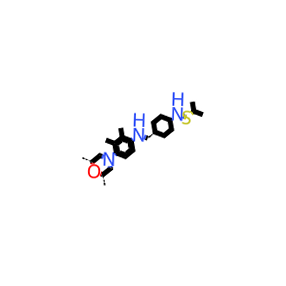 Cc1c(NC[C@H]2CC[C@H](NSC(C)C)CC2)ccc(N2C[C@@H](C)O[C@@H](C)C2)c1C